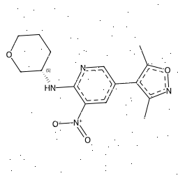 Cc1noc(C)c1-c1cnc(N[C@H]2CCCOC2)c([N+](=O)[O-])c1